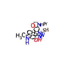 CCCN1CCOc2ccc(-n3c(S)nnc3-c3cc4c(C)c(C)[nH]c4cc3O)cc21